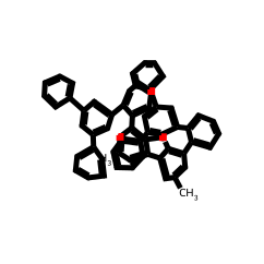 Cc1cc(-c2ccccc2-c2cc(-c3ccccc3)cc(-c3ccccc3)c2)c2sc3c(-c4ccccc4-c4cc(-c5ccccc5)cc(-c5ccccc5)c4)cc(C)cc3c2c1